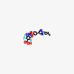 CCc1ncc(-c2ccc(S(=O)(=O)Nc3c(F)c(F)c(C(=O)O)c(F)c3F)cc2)cn1